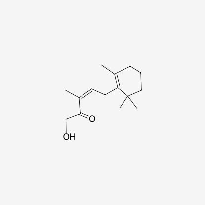 CC(=CCC1=C(C)CCCC1(C)C)C(=O)CO